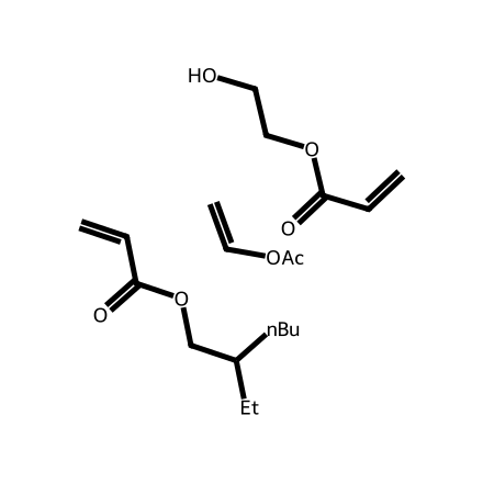 C=CC(=O)OCC(CC)CCCC.C=CC(=O)OCCO.C=COC(C)=O